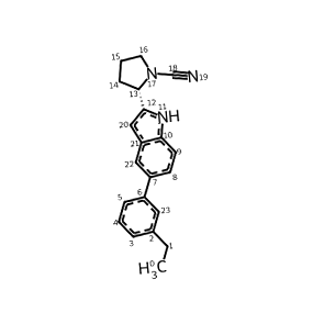 CCc1cccc(-c2ccc3[nH]c([C@@H]4CCCN4C#N)cc3c2)c1